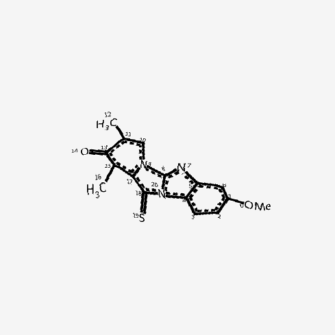 COc1ccc2c(c1)nc1n3cc(C)c(=O)c(C)c3c(=S)n21